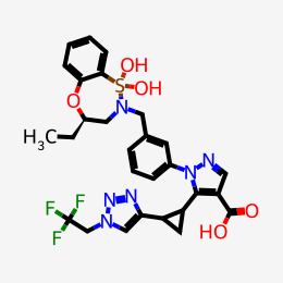 CC[C@@H]1CN(Cc2cccc(-n3ncc(C(=O)O)c3C3CC3c3cn(CC(F)(F)F)nn3)c2)S(O)(O)c2ccccc2O1